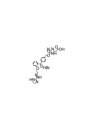 Br.N[C@H](CC(=O)O)NC(=O)OCc1ccc(C(=O)c2ccccc2OCC=NNC2=NCCN2)cc1